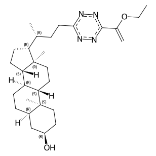 C=C(OCC)c1nnc(CC[C@@H](C)[C@H]2CC[C@H]3[C@@H]4CC[C@@H]5C[C@H](O)CC[C@]5(C)[C@H]4CC[C@]23C)nn1